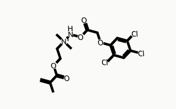 C=C(C)C(=O)OCC[N+](C)(C)NOC(=O)COc1cc(Cl)c(Cl)cc1Cl